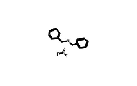 FB(F)F.c1ccc(CNCc2ccccc2)cc1